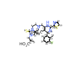 CCOC(=O)C1=C(CN2CCN3C(=S)N(C[C@H](C)C(=O)O)C[C@@H]3C2)NC(c2nccs2)=N[C@H]1c1cccc(F)c1C